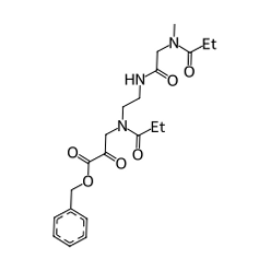 CCC(=O)N(C)CC(=O)NCCN(CC(=O)C(=O)OCc1ccccc1)C(=O)CC